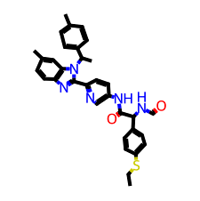 CCSc1ccc(C(NC=O)C(=O)Nc2ccc(-c3nc4ccc(C)cc4n3C(C)c3ccc(C)cc3)nc2)cc1